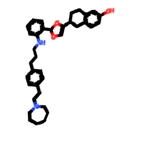 Oc1ccc2c(c1)CCC(C1=COC(c3ccccc3NCCCc3ccc(CCN4CCCCCC4)cc3)O1)C2